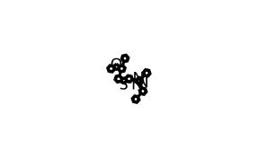 c1ccc(-c2cccc(-c3nc(-c4ccccc4)nc(-c4ccc5c(c4)sc4cccc(-c6ccc(-c7ccccc7)c7oc8ccccc8c67)c45)n3)c2)cc1